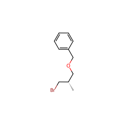 C[C@H](CBr)COCc1ccccc1